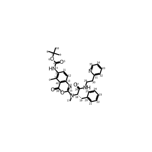 Cc1c(NC(=O)OC(C)(C)C)ccc2nc(N(C)[C@@H](Cc3ccccc3)C(=O)NCCc3ccccn3)oc(=O)c12